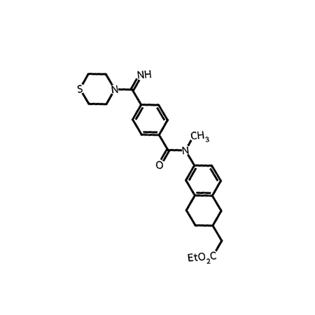 CCOC(=O)CC1CCc2cc(N(C)C(=O)c3ccc(C(=N)N4CCSCC4)cc3)ccc2C1